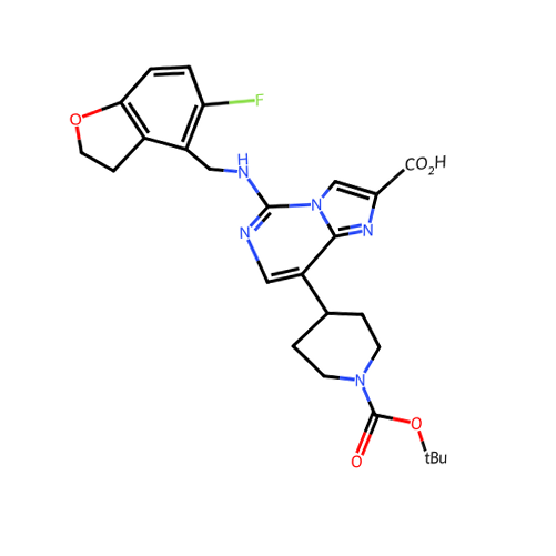 CC(C)(C)OC(=O)N1CCC(c2cnc(NCc3c(F)ccc4c3CCO4)n3cc(C(=O)O)nc23)CC1